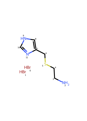 Br.Br.NCCSCc1c[nH]cn1